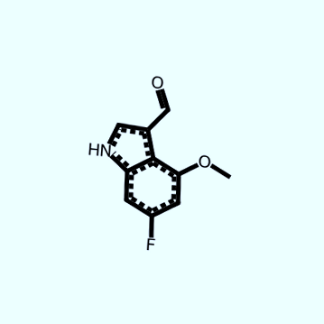 COc1cc(F)cc2[nH]cc(C=O)c12